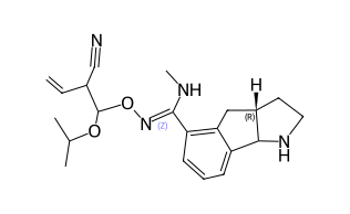 C=CC(C#N)C(O/N=C(\NC)c1cccc2c1C[C@@H]1CCNC21)OC(C)C